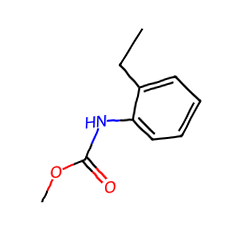 CCc1ccccc1NC(=O)OC